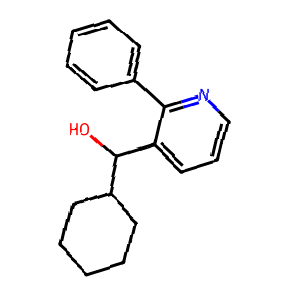 OC(c1cccnc1-c1ccccc1)C1CCCCC1